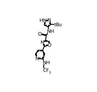 CC(C)(C)c1n[nH]cc1NC(=O)c1coc(-c2ccnc(NCC(F)(F)F)c2)n1